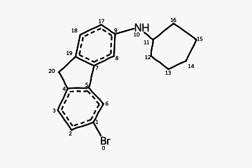 Brc1ccc2c(c1)-c1cc(NC3CCCCC3)ccc1C2